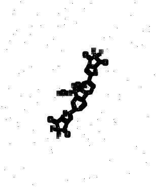 CCCCCCCCC1(CCCCCCCC)c2cc(-c3cc4c(s3)C(=O)C(F)(F)C4=O)ccc2-c2ccc(-c3cc4c(s3)C(=O)C(F)(F)C4=O)cc21